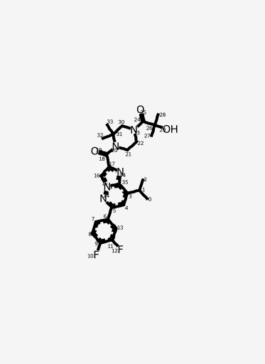 CC(C)c1cc(-c2ccc(F)c(F)c2)nn2cc(C(=O)N3CCN(C(=O)C(C)(C)O)CC3(C)C)nc12